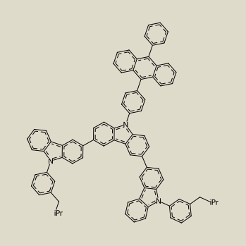 CC(C)Cc1cccc(-n2c3ccccc3c3cc(-c4ccc5c(c4)c4cc(-c6ccc7c(c6)c6ccccc6n7-c6cccc(CC(C)C)c6)ccc4n5-c4ccc(-c5c6ccccc6c(-c6ccccc6)c6ccccc56)cc4)ccc32)c1